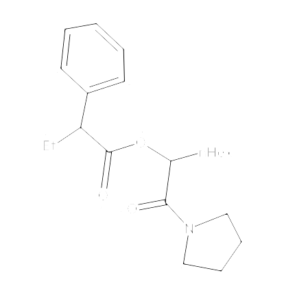 CCCCCCC(OC(=O)C(CC)c1ccccc1)C(=O)N1CCCC1